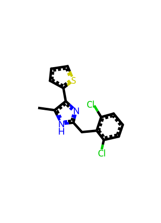 Cc1[nH]c(Cc2c(Cl)cccc2Cl)nc1-c1cccs1